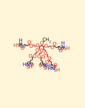 C=COC(C(COCCOC(=O)C[CH2][Co](=[O])[NH]S)OCCOC(=O)C[CH2][Co](=[O])[NH]S)C(OCCOC(=O)C[CH2][Co](=[O])[NH]S)C(COCCOC(=O)C[CH2][Co](=[O])[NH]S)OCCOC(=O)C[CH2][Co](=[O])[NH]S